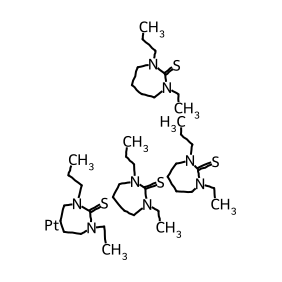 CCCN1CCCCN(CC)C1=S.CCCN1CCCCN(CC)C1=S.CCCN1CCCCN(CC)C1=S.CCCN1CCCCN(CC)C1=S.[Pt]